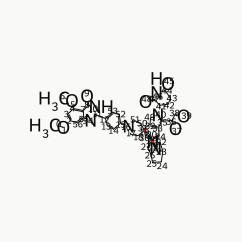 COc1cc(OC)c2c(=O)[nH]c(-c3ccc(N4CCC(CN5CC6CCC(C5)N6c5ccc6c(c5)C(C(=O)C=O)N(C5CCC(=O)NC5=O)C6)CC4)cc3)nc2c1